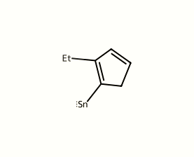 CCC1=[C]([Sn])CC=C1